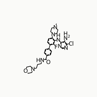 CN1CCN(c2ccc(-c3ccc(C(=O)NCCCN4CCOCC4)cc3)c(F)c2Nc2ncnc(Cl)c2N)CC1